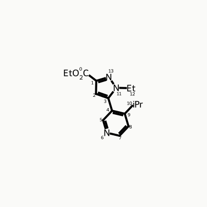 CCOC(=O)c1cc(-c2cnccc2C(C)C)n(CC)n1